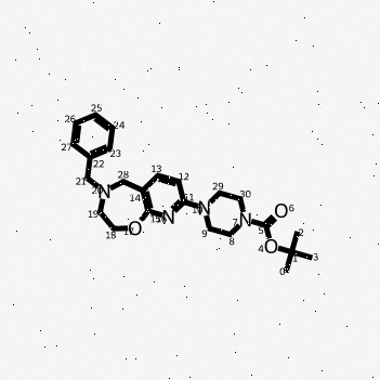 CC(C)(C)OC(=O)N1CCN(c2ccc3c(n2)OCCN(Cc2ccccc2)C3)CC1